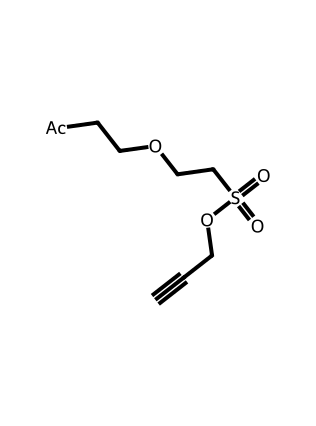 C#CCOS(=O)(=O)CCOCCC(C)=O